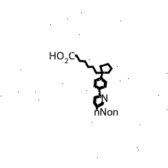 CCCCCCCCCc1ccc(-c2ccc(C3(CCCCCCC(=O)O)CCCC3)cc2)nc1